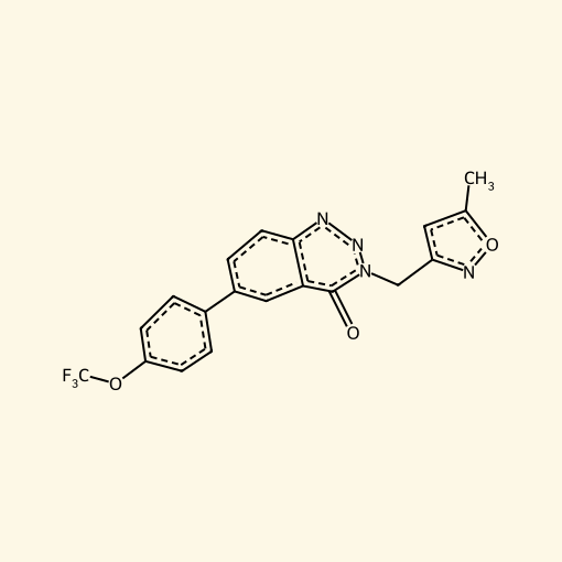 Cc1cc(Cn2nnc3ccc(-c4ccc(OC(F)(F)F)cc4)cc3c2=O)no1